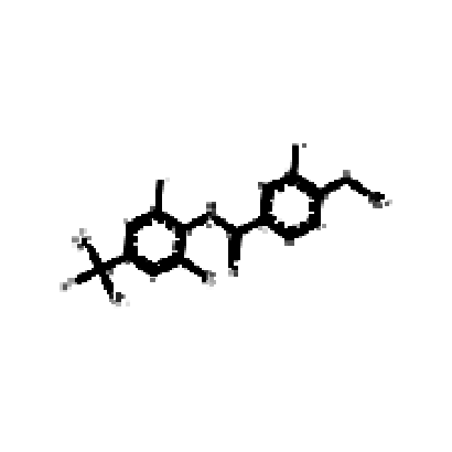 CCc1cc(C(F)(C(F)(F)F)C(F)(F)F)cc(C)c1NC(=O)c1ccc(CN)c(C)c1